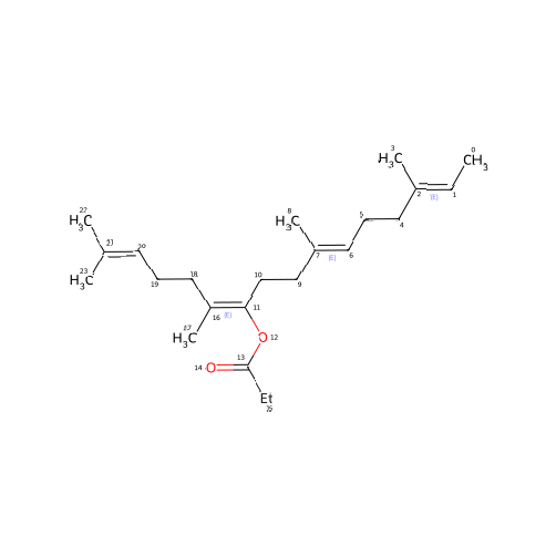 C/C=C(\C)CC/C=C(\C)CC/C(OC(=O)CC)=C(/C)CCC=C(C)C